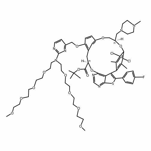 COCCOCCOCCOCCN(CCOCCOCCOCCOC)c1nccc(COc2ccc3cc2C[C@H](C(=O)OC(C)(C)C)Oc2ncnc4sc(-c5ccc(F)cc5)c(c24)-c2c(C)c(Cl)c(c(Cl)c2C)O[C@H](CN2CCN(C)CC2)CO3)n1